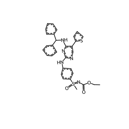 CCOC(=O)N=S(C)(=O)c1ccc(Nc2ncc(-c3cccs3)c(NC(c3ccccc3)c3ccccc3)n2)cc1